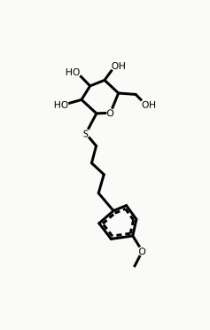 COc1ccc(CCCCSC2OC(CO)C(O)C(O)C2O)cc1